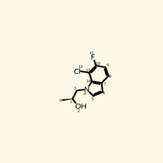 C[C@H](O)Cn1ccc2ccc(F)c(Cl)c21